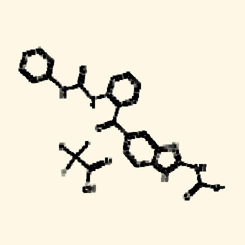 O=C(O)C(F)(F)F.O=C(O)Nc1nc2cc(C(=O)c3ccccc3NC(=O)Nc3ccccc3)ccc2[nH]1